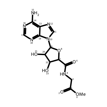 COC(=O)CNC(=O)C1OC(n2cnc3c(N)ncnc32)C(O)C1O